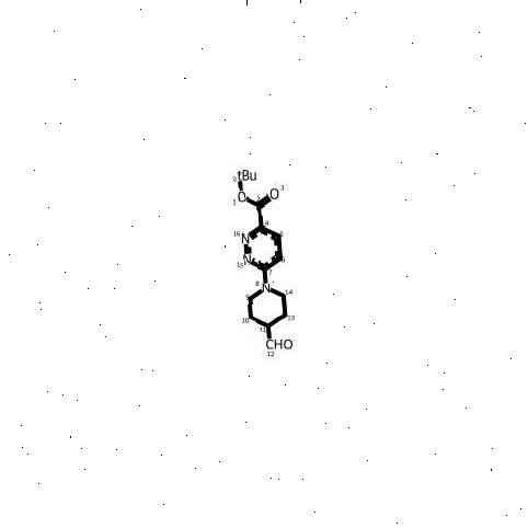 CC(C)(C)OC(=O)c1ccc(N2CCC(C=O)CC2)nn1